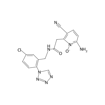 N#Cc1ccc(N)[n+]([O-])c1CC(=O)NCc1cc(Cl)ccc1-n1cnnn1